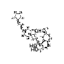 COc1ccc2ncc(CO)c([C@@H](O)CCC3(CO)CCN(CCSC4CCCC4)CC3)c2c1